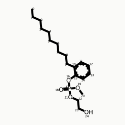 CCCCCCCCCCc1ccccc1OP(=O)(OC)OCCO